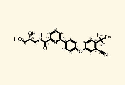 N#Cc1cc(Oc2ccc(-c3cccc(C(=O)NC[C@H](O)CO)n3)cc2)ccc1C(F)(F)F